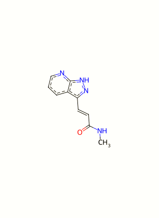 CNC(=O)/C=C/c1n[nH]c2ncccc12